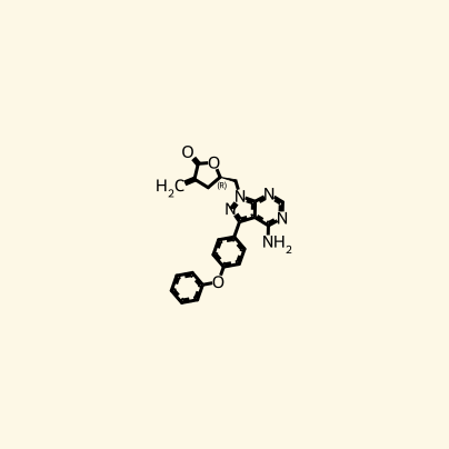 C=C1C[C@H](Cn2nc(-c3ccc(Oc4ccccc4)cc3)c3c(N)ncnc32)OC1=O